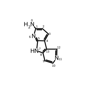 Nc1ccc2c(n1)[nH]c1ccncc12